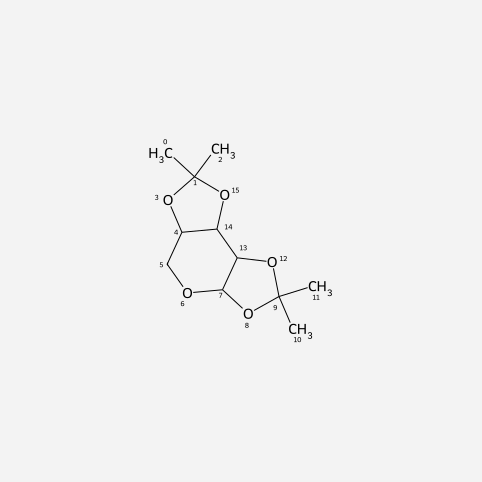 CC1(C)OC2COC3OC(C)(C)OC3C2O1